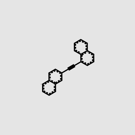 C(#Cc1cccc2ccccc12)c1ccc2[c]cccc2c1